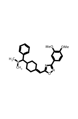 COc1ccc(-c2noc(C=C3CCC(C(c4ccccc4)N(C)C)CC3)n2)cc1OC